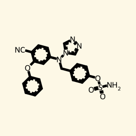 N#Cc1ccc(N(Cc2ccc(OS(N)(=O)=O)cc2)n2cnnc2)cc1Oc1ccccc1